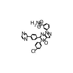 NS(=O)(=O)c1cccc(-n2ncc3c(=O)n(-c4ccc(Cl)cc4)c(-c4ccc(-c5cnccn5)cc4)nc32)c1